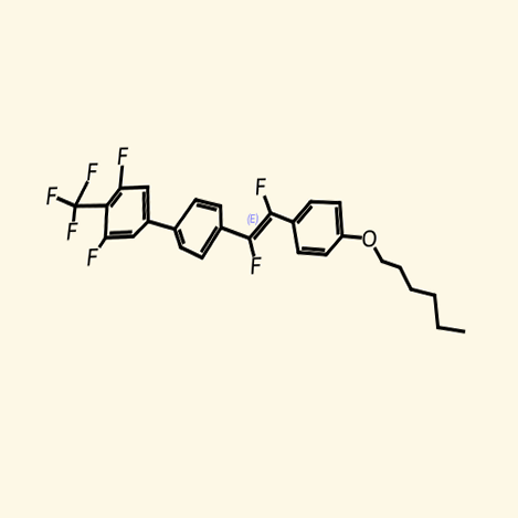 CCCCCCOc1ccc(/C(F)=C(\F)c2ccc(-c3cc(F)c(C(F)(F)F)c(F)c3)cc2)cc1